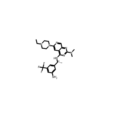 CCN1CCN(c2cc3c(N[C@H](C)c4cc(N)cc(C(F)(F)F)c4)nc(N(C)C)nc3cn2)CC1